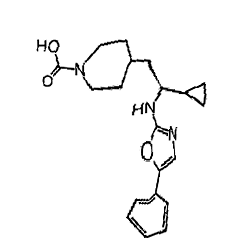 O=C(O)N1CCC(C[C@H](Nc2ncc(-c3ccccc3)o2)C2CC2)CC1